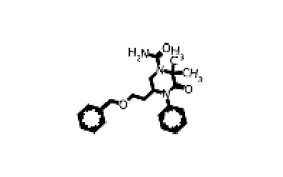 CC1(C)C(=O)N(c2ccccc2)C(CCOCc2ccccc2)CN1C(N)=O